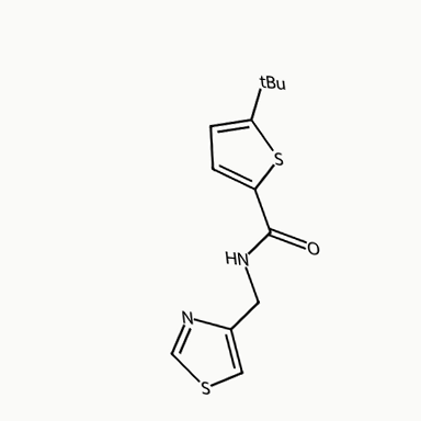 CC(C)(C)c1ccc(C(=O)NCc2cscn2)s1